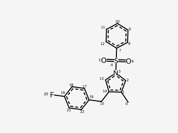 Cc1cn(S(=O)(=O)c2ccccc2)cc1Cc1ccc(F)cc1